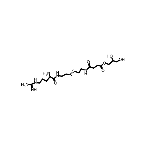 N=C(N)NCCCC(N)C(=O)NCCSSCCNC(=O)CCC(=O)OCC(O)CO